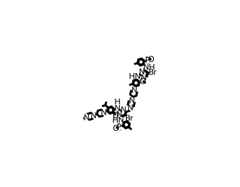 COc1cc(N2CCC(N3CCN(Cc4nc(Nc5cc(C(C)C)c(N6CCC(N7CCN(C)CC7)CC6)cc5OC)nc(Nc5ccc(C)cc5P(C)(C)=O)c4Br)CC3)CC2)c(C)cc1Nc1ncc(Br)c(Nc2cc(C)ccc2P(C)(C)=O)n1